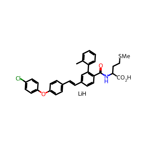 CSCCC(NC(=O)c1ccc(/C=C/c2ccc(Oc3ccc(Cl)cc3)cc2)cc1-c1ccccc1C)C(=O)O.[LiH]